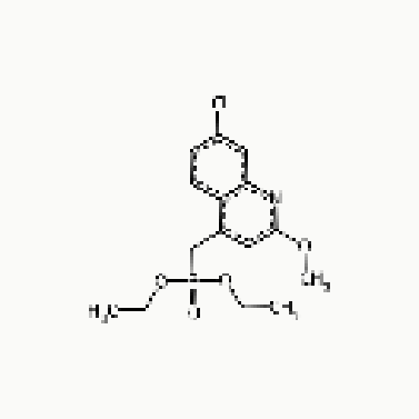 CCOP(=O)(Cc1cc(OC)nc2cc(Cl)ccc12)OCC